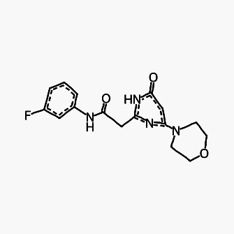 O=C(Cc1nc(N2CCOCC2)cc(=O)[nH]1)Nc1cccc(F)c1